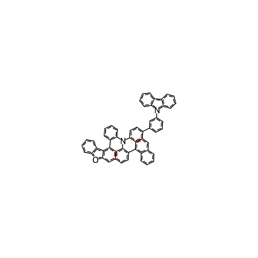 c1cc(-c2ccc(N(c3ccccc3-c3cccc4ccccc34)c3ccccc3-c3cccc4oc5ccccc5c34)cc2)cc(-n2c3ccccc3c3ccccc32)c1